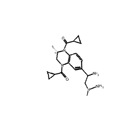 C[C@H]1CN(C(=O)C2CC2)c2cc(C(N)CN(C)N)ccc2N1C(=O)C1CC1